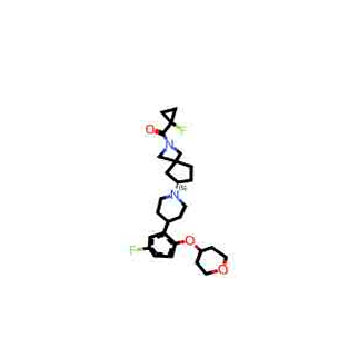 O=C(N1CC2(CC[C@H](N3CCC(c4cc(F)ccc4OC4CCOCC4)CC3)C2)C1)C1(F)CC1